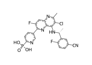 Cc1nc2cc(F)c(-c3ccc(P(=O)(O)O)nc3)nc2c(N[C@H](C)c2cc(C#N)ccc2F)c1Cl